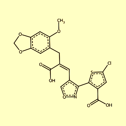 COc1cc2c(cc1CC(=Cc1conc1-c1sc(Cl)cc1C(=O)O)C(=O)O)OCO2